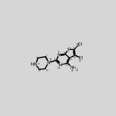 CCc1sc2nc(N3CCNCC3)nc(N)c2c1CC